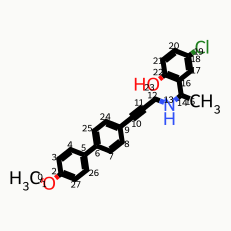 COc1ccc(-c2ccc(C#CCNC(C)c3cc(Cl)ccc3O)cc2)cc1